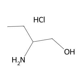 CCC(N)CO.Cl